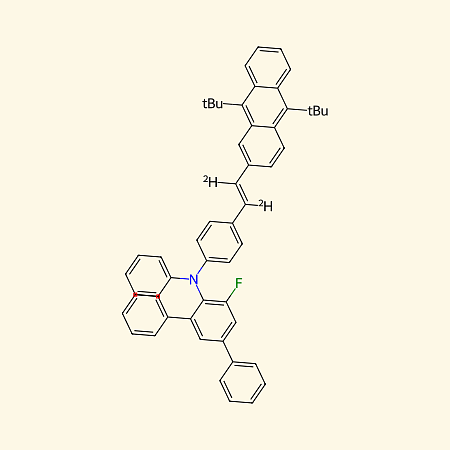 [2H]/C(=C(/[2H])c1ccc2c(C(C)(C)C)c3ccccc3c(C(C)(C)C)c2c1)c1ccc(N(c2ccccc2)c2c(F)cc(-c3ccccc3)cc2-c2ccccc2)cc1